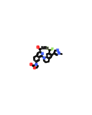 CNC(=O)c1cc2ccc(N3CCOC3=O)cc2c(N2CCCc3cc(-c4cnn(C)c4)c(C(F)F)cc32)n1